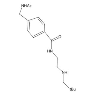 CC(=O)NCc1ccc(C(=O)NCCNCC(C)(C)C)cc1